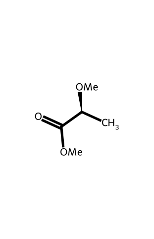 COC(=O)[C@H](C)OC